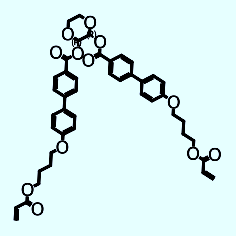 C=CC(=O)OCCCCOc1ccc(-c2ccc(C(=O)O[C@H]3OCCO[C@@H]3OC(=O)c3ccc(-c4ccc(OCCCCOC(=O)C=C)cc4)cc3)cc2)cc1